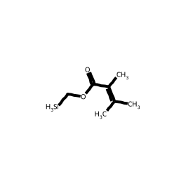 CC(C)=C(C)C(=O)OC[SiH3]